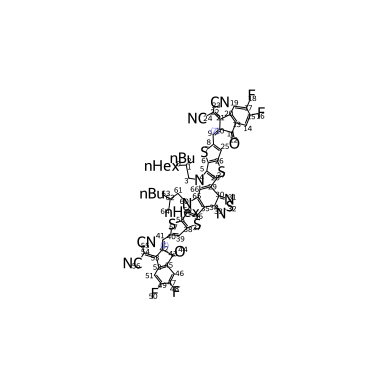 CCCCCCC(CCCC)Cn1c2c3sc(/C=C4\C(=O)c5cc(F)c(F)cc5C4=C(C#N)C#N)cc3sc2c2c3nsnc3c3c4sc5cc(/C=C6\C(=O)c7cc(F)c(F)cc7C6=C(C#N)C#N)sc5c4n(CC(CCCC)CCCCCC)c3c21